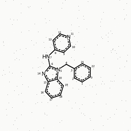 c1ccc(Cn2c(Nc3ccncc3)nc3ccccc32)cc1